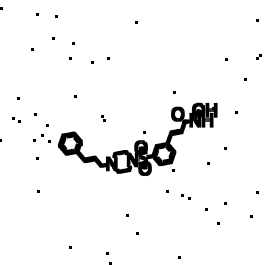 O=C(/C=C/c1cccc(S(=O)(=O)N2CCN(C/C=C/c3ccccc3)CC2)c1)NO